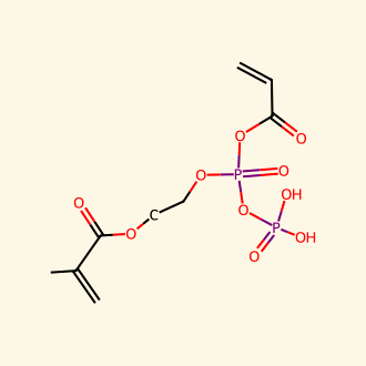 C=CC(=O)OP(=O)(OCCOC(=O)C(=C)C)OP(=O)(O)O